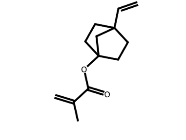 C=CC12CCC(OC(=O)C(=C)C)(CC1)C2